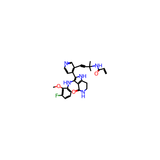 C=CC(=O)NC(C)(C)C#Cc1cnccc1-c1[nH]c2c(c1Nc1cccc(F)c1OC)C(=O)NCC2